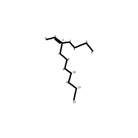 CC=C(CCCC)CCCCCCC